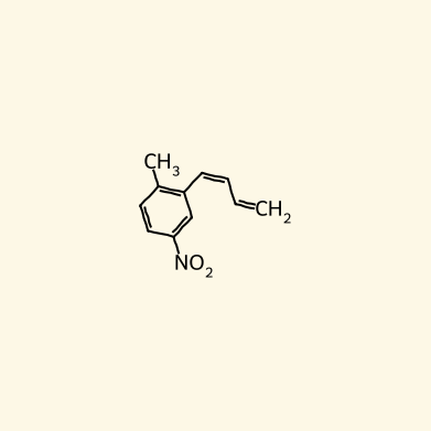 C=C/C=C\c1cc([N+](=O)[O-])ccc1C